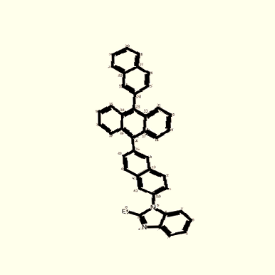 CCc1nc2ccccc2n1-c1ccc2cc(-c3c4ccccc4c(-c4ccc5ccccc5c4)c4ccccc34)ccc2c1